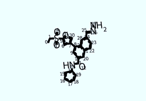 CCS(=O)(=O)c1cc(-c2cc(C(=O)Nc3ccccc3)cc3ccc(C=NN)cc23)co1